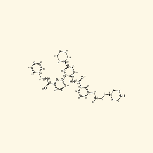 CN(CCN1CCNCC1)Cc1cccc(C(=O)Nc2ccc(N3CCCCC3)cc2-c2cc(C(=O)NCc3ccccc3)ccn2)c1